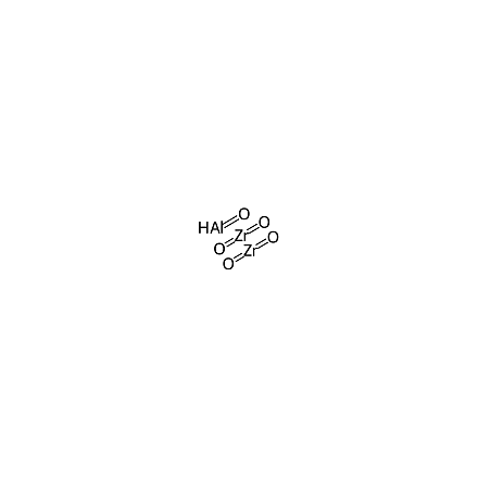 [O]=[AlH].[O]=[Zr]=[O].[O]=[Zr]=[O]